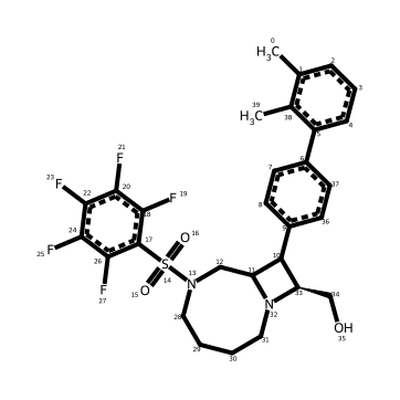 Cc1cccc(-c2ccc(C3C4CN(S(=O)(=O)c5c(F)c(F)c(F)c(F)c5F)CCCCN4[C@@H]3CO)cc2)c1C